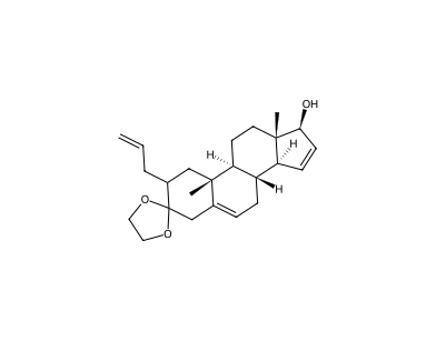 C=CCC1C[C@@]2(C)C(=CC[C@H]3[C@@H]4C=C[C@H](O)[C@@]4(C)CC[C@@H]32)CC12OCCO2